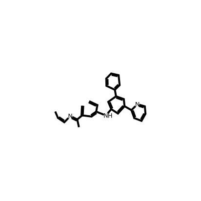 C=C/C(=C\C(=C)/C(C)=N/C=C\C)Nc1cc(-c2ccccc2)cc(-c2ccccn2)c1